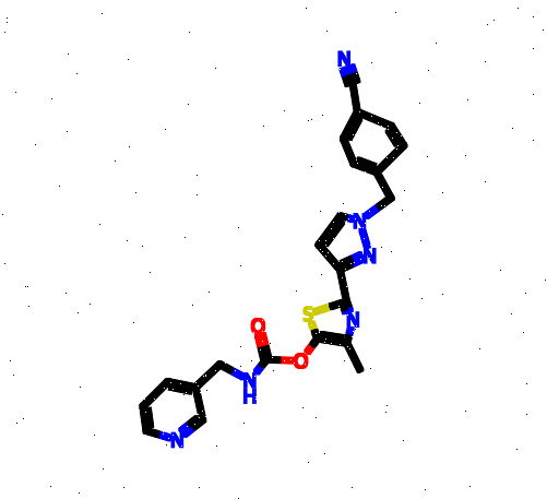 Cc1nc(-c2ccn(Cc3ccc(C#N)cc3)n2)sc1OC(=O)NCc1cccnc1